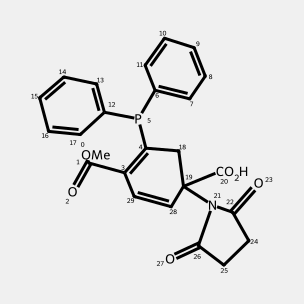 COC(=O)C1=C(P(c2ccccc2)c2ccccc2)CC(C(=O)O)(N2C(=O)CCC2=O)C=C1